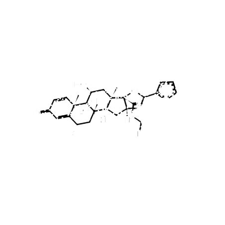 C[C@]12C=CC(=O)C=C1[C@@H](F)C[C@H]1[C@@H]3C[C@H]4OC(c5cccs5)O[C@@]4(C(=O)SCF)[C@@]3(C)C[C@H](O)[C@@]12F